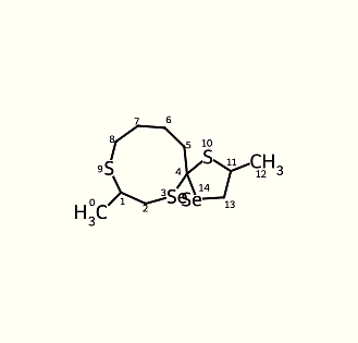 CC1C[Se]C2(CCCCS1)SC(C)C[Se]2